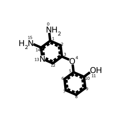 Nc1cc(Oc2ccccc2O)cnc1N